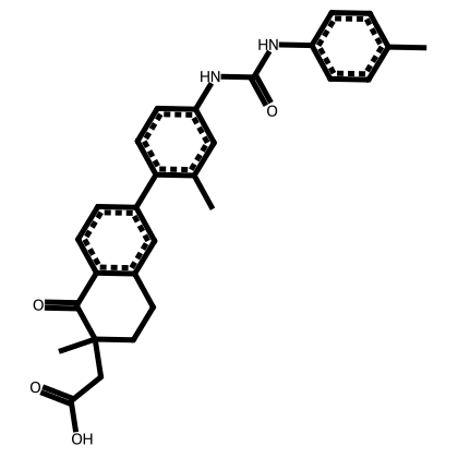 Cc1ccc(NC(=O)Nc2ccc(-c3ccc4c(c3)CCC(C)(CC(=O)O)C4=O)c(C)c2)cc1